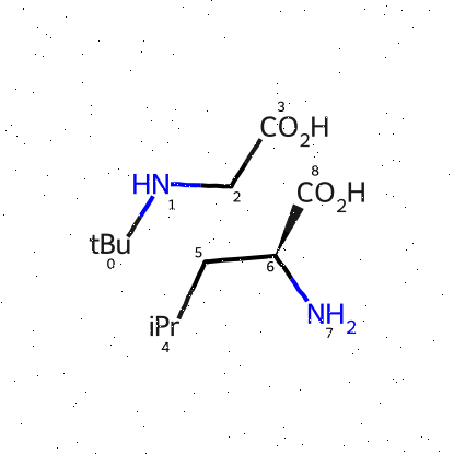 CC(C)(C)NCC(=O)O.CC(C)C[C@H](N)C(=O)O